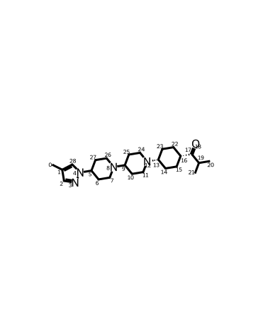 Cc1cnn(C2CCN(C3CCN([C@H]4CC[C@@H](C(=O)C(C)C)CC4)CC3)CC2)c1